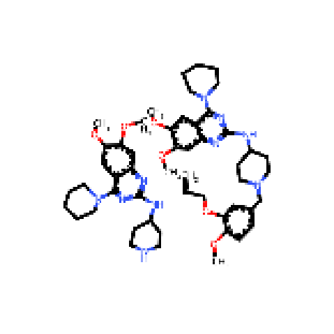 C=CCOc1cc(CN2CCC(Nc3nc(N4CCCCC4)c4cc(OC)c(OC)cc4n3)CC2)ccc1OC.COc1cc2nc(NC3CCNCC3)nc(N3CCCCC3)c2cc1OC